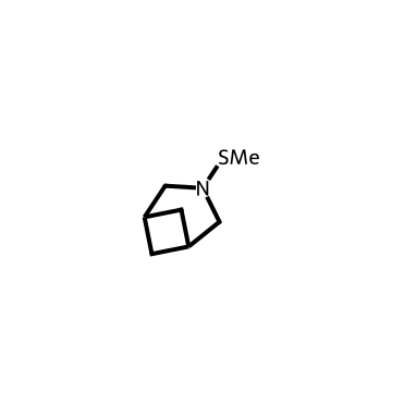 CSN1CC2CC(C2)C1